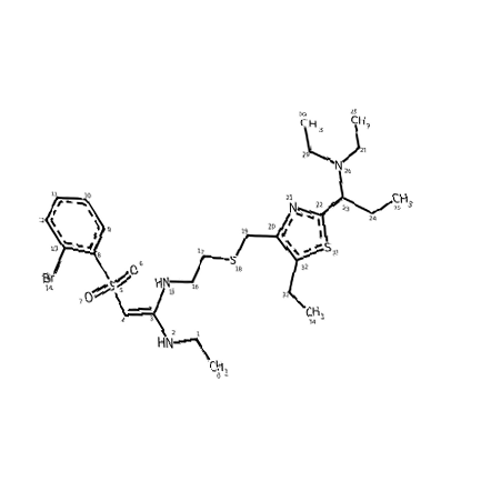 CCNC(=CS(=O)(=O)c1ccccc1Br)NCCSCc1nc(C(CC)N(CC)CC)sc1CC